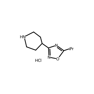 CC(C)c1nc(C2CCNCC2)no1.Cl